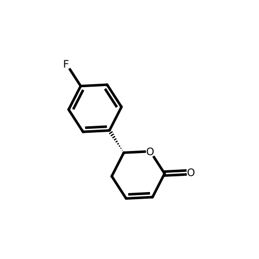 O=C1C=CC[C@H](c2ccc(F)cc2)O1